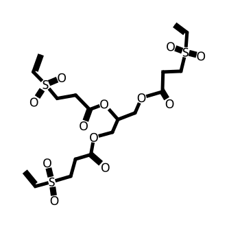 C=CS(=O)(=O)CCC(=O)OCC(COC(=O)CCS(=O)(=O)C=C)OC(=O)CCS(=O)(=O)C=C